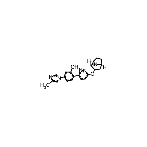 Cc1cn(-c2ccc(-c3ccc(O[C@H]4C[C@H]5CC[C@@H](C4)N5)nn3)c(O)c2)cn1